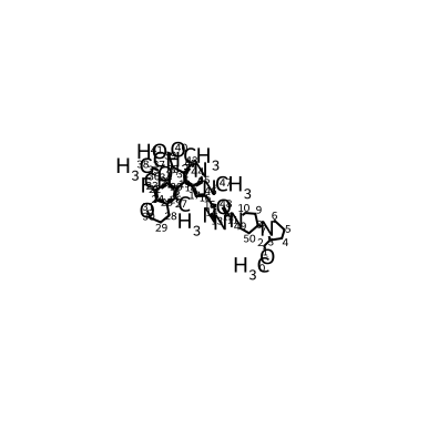 COCC1CCCN1C1CCN(c2nnc(-c3cc4c(-c5cc(F)c6c(c5C)CCCO6)c([C@H](OC(C)(C)C)C(=O)O)c(C)nc4n3C)o2)CC1